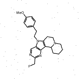 COc1ccc(CCn2c3c(c4nc(CF)ncc42)C2CCCCN2CC3)cc1